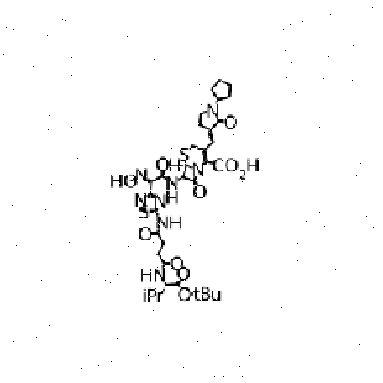 CC(C)[C@H](NC(=O)CCC(=O)Nc1nc(/C(=N\O)C(=O)N[C@@H]2C(=O)N3C(C(=O)O)=C(/C=C4\CCN(C5CCCC5)C4=O)CS[C@H]23)ns1)C(=O)OC(C)(C)C